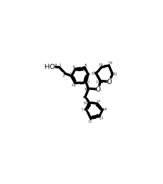 OCCc1cccc(C(Cc2ccccc2)OC2CCCCO2)c1